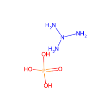 NN(N)N.O=P(O)(O)O